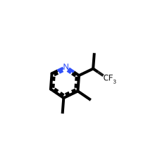 Cc1ccnc(C(C)C(F)(F)F)c1C